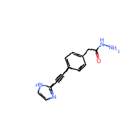 NNC(=O)Cc1ccc(C#Cc2ncc[nH]2)cc1